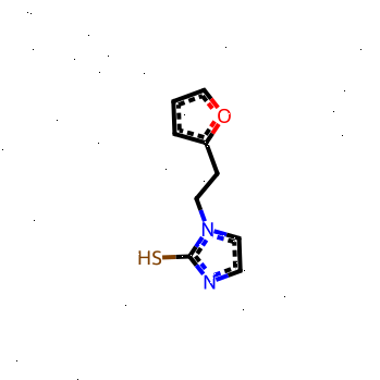 Sc1nccn1CCc1ccco1